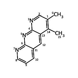 Cc1[c]nc2nc3ncccc3cc2c1C